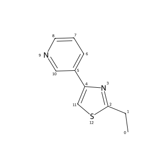 CCc1nc(-c2cccnc2)cs1